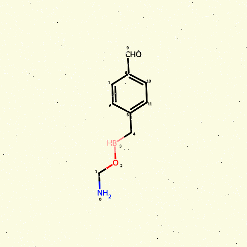 NCOBCc1ccc(C=O)cc1